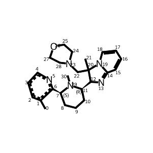 Cc1cccnc1[C@@H]1CCC[C@H](C2N=C3C=CC=CN3C2(C)CN2CCOCC2)N1C